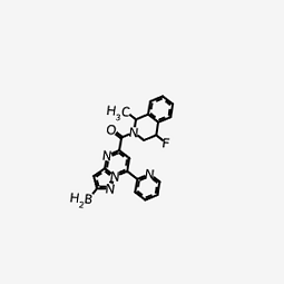 Bc1cc2nc(C(=O)N3CC(F)c4ccccc4C3C)cc(-c3ccccn3)n2n1